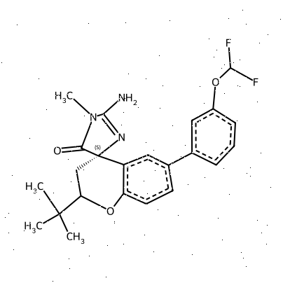 CN1C(=O)[C@@]2(CC(C(C)(C)C)Oc3ccc(-c4cccc(OC(F)F)c4)cc32)N=C1N